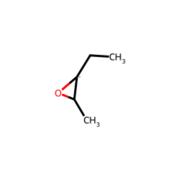 CC[C]1OC1C